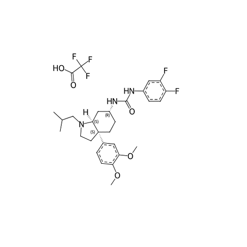 COc1ccc([C@@]23CC[C@@H](NC(=O)Nc4ccc(F)c(F)c4)C[C@@H]2N(CC(C)C)CC3)cc1OC.O=C(O)C(F)(F)F